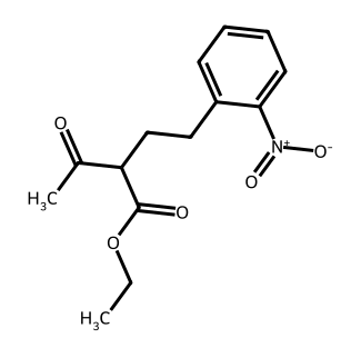 CCOC(=O)C(CCc1ccccc1[N+](=O)[O-])C(C)=O